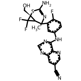 C[C@]1(c2cc(Nc3ncnc4cc(C#N)cnc34)ccc2F)N=C(N)S[C@]2(CO)C1C2(F)F